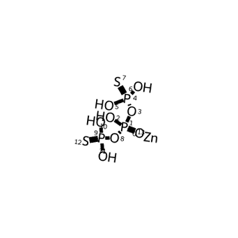 O=P(O)(OP(O)(O)=S)OP(O)(O)=S.[Zn]